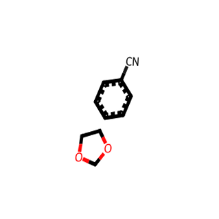 C1COCO1.N#Cc1ccccc1